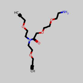 C#CCOCCN(CCOCC#C)C(=O)COCCOCCN